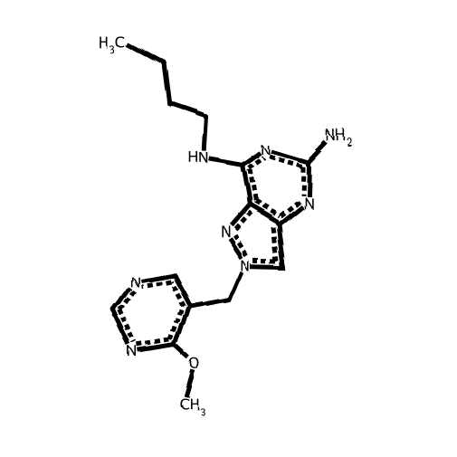 CCCCNc1nc(N)nc2cn(Cc3cncnc3OC)nc12